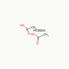 C#C.CC(=O)O.CC(=O)O